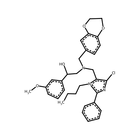 CCCCn1c(-c2ccccc2)nc(Cl)c1CN(Cc1ccc2c(c1)OCCO2)CC(O)c1cccc(OC)c1